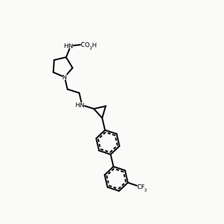 O=C(O)NC1CCN(CCNC2CC2c2ccc(-c3cccc(C(F)(F)F)c3)cc2)C1